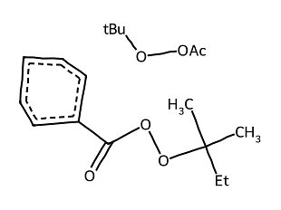 CC(=O)OOC(C)(C)C.CCC(C)(C)OOC(=O)c1ccccc1